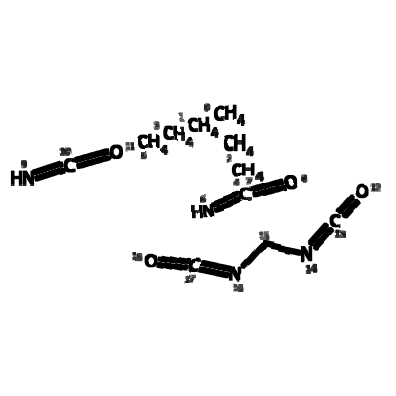 C.C.C.C.C.C.N=C=O.N=C=O.O=C=NCN=C=O